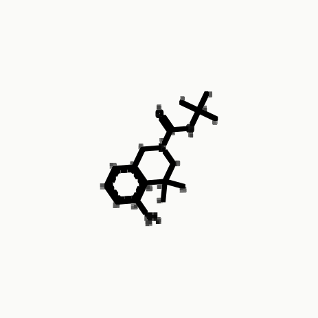 CC(C)(C)OC(=O)N1Cc2cccc(N)c2C(C)(C)C1